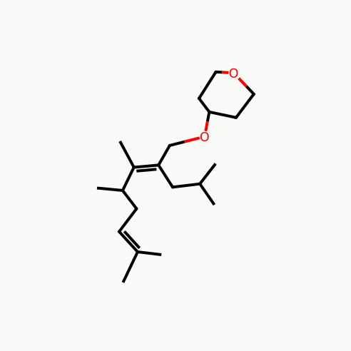 CC(C)=CCC(C)/C(C)=C(/COC1CCOCC1)CC(C)C